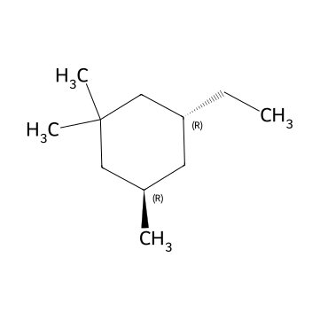 CC[C@@H]1C[C@@H](C)CC(C)(C)C1